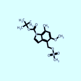 COc1cc(C)c2c(ccn2C(=O)OC(C)(C)C)c1COS(C)(=O)=O